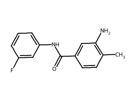 Cc1ccc(C(=O)Nc2cccc(F)c2)cc1N